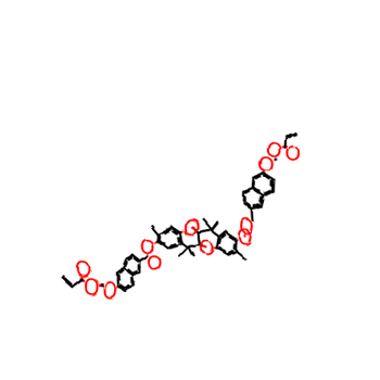 C=CC(=O)OCOc1ccc2cc(COOc3cc4c(cc3C)OC3C(Oc5cc(C)c(OC(=O)c6ccc7cc(OCOC(=O)C=C)ccc7c6)cc5C3(C)C)C4(C)C)ccc2c1